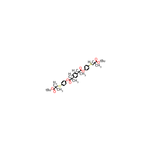 CC(C)(C)OC(=O)C(C)(C)CSc1ccc(OC(=O)C(C)(C)c2ccc(C(C)(C)C(=O)Oc3ccc(SCC(C)(C)C(=O)OC(C)(C)C)cc3)cc2)cc1